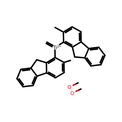 C[O-].C[O-].[CH2]=[Ti+2]([c]1c(C)ccc2c1Cc1ccccc1-2)[c]1c(C)ccc2c1Cc1ccccc1-2